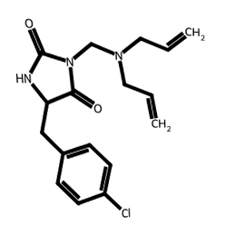 C=CCN(CC=C)CN1C(=O)NC(Cc2ccc(Cl)cc2)C1=O